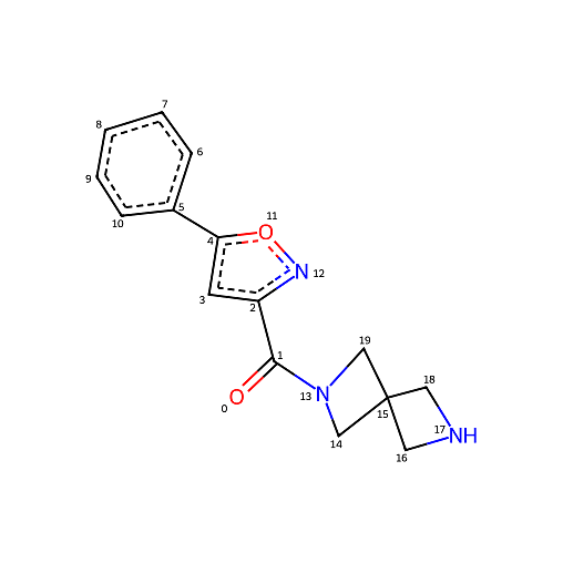 O=C(c1cc(-c2ccccc2)on1)N1CC2(CNC2)C1